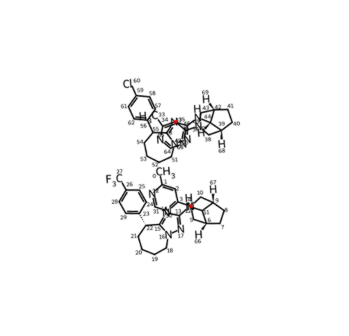 Cc1cc(N2C[C@H]3CC[C@@H](C2)C3Nc2nc3n(n2)CCCC[C@@H]3c2ccc(C(F)(F)F)cc2)ncn1.Cc1cc(N2C[C@H]3CC[C@@H](C2)[C@H]3Nc2nc3n(n2)CCCCC3c2ccc(Cl)cc2)ncn1